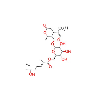 C=CC(C)(O)CC/C=C(\C)C(=O)OC[C@H]1OC(O[C@@H]2OC=C(C(=O)O)C3CC(=O)O[C@H](C)C32)[C@H](O)[C@@H](O)[C@@H]1O